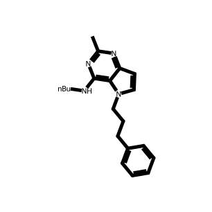 CCCCNc1nc(C)nc2ccn(CCCc3ccccc3)c12